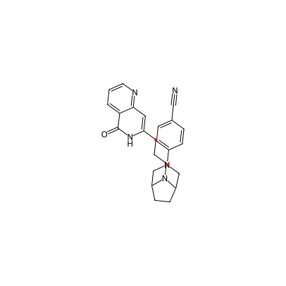 N#Cc1ccc(N2CC3CCC(C2)N3CCCc2cc3ncccc3c(=O)[nH]2)cc1